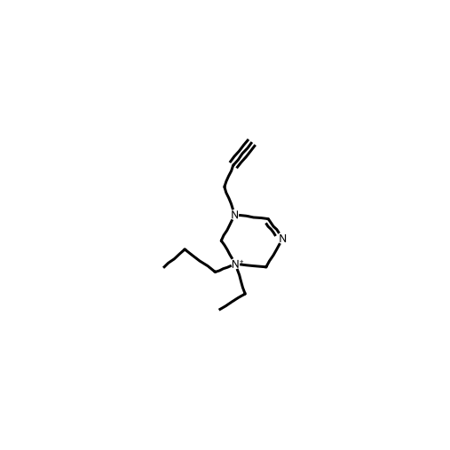 C#CCN1C=NC[N+](CC)(CCC)C1